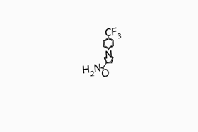 NC(=O)c1ccn(-c2ccc(C(F)(F)F)cc2)c1